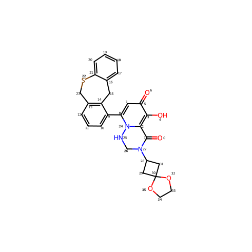 O=C1c2c(O)c(=O)cc(-c3cccc4c3Cc3ccccc3SC4)n2NCN1C1CC2(C1)OCCO2